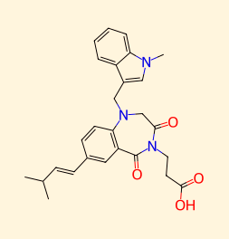 CC(C)C=Cc1ccc2c(c1)C(=O)N(CCC(=O)O)C(=O)CN2Cc1cn(C)c2ccccc12